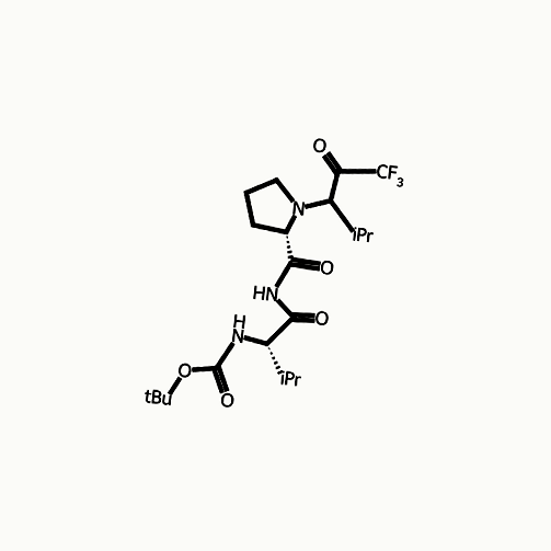 CC(C)C(C(=O)C(F)(F)F)N1CCC[C@H]1C(=O)NC(=O)[C@@H](NC(=O)OC(C)(C)C)C(C)C